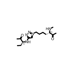 CC[C@H](Nc1cn(CCCC[C@H](NC)C(C)=O)nn1)C(C)=O